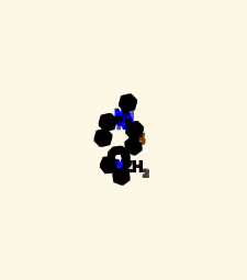 C=C1/C=C(c2ccc3sc4ccc(-c5nc(-c6ccccc6)nc(-c6cccc(-c7ccccc7)c6)n5)cc4c3c2)\C=C/Cc2ccccc2N1c1ccccc1